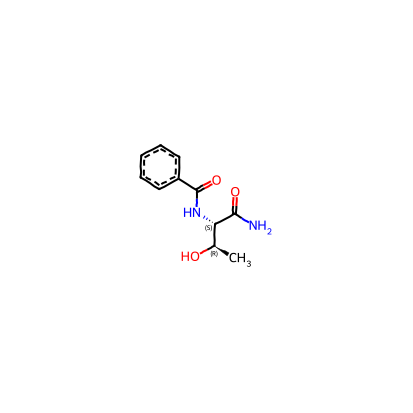 C[C@@H](O)[C@H](NC(=O)c1ccccc1)C(N)=O